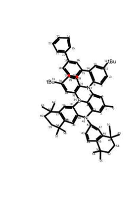 Cc1cc2c3c(c1)N(c1ccc(C(C)(C)C)cc1-c1cccc(-c4ccccc4)c1)c1ccc(C(C)(C)C)cc1B3c1cc3c(cc1N2c1ccc2c(c1)C(C)(C)CCC2(C)C)C(C)(C)CCC3(C)C